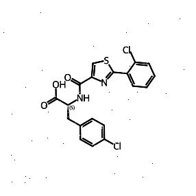 O=C(N[C@@H](Cc1ccc(Cl)cc1)C(=O)O)c1csc(-c2ccccc2Cl)n1